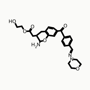 NC1Oc2cc(C(=O)c3ccc(C=NN4CCOCC4)cc3)ccc2CC1CC(=O)OCCO